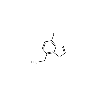 O=C(O)Cc1ccc(F)c2ccsc12